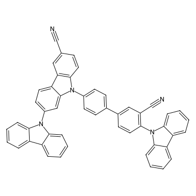 N#Cc1ccc2c(c1)c1ccc(-n3c4ccccc4c4ccccc43)cc1n2-c1ccc(-c2ccc(-n3c4ccccc4c4ccccc43)c(C#N)c2)cc1